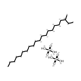 CCCCCCCCCCCCCCCCCCC(C)CC.O=S(=O)(O)O.O=S(=O)(O)O